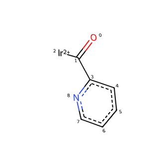 O=[C]([Ir+2])c1ccccn1